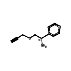 C#CCOC[C@@H](N)c1ccccc1